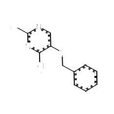 Clc1ncc(SCc2ccccc2)c(Cl)n1